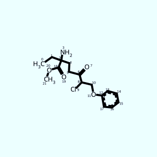 CCC(N)(CCC(=O)C(Cl)COc1ccccc1)C(=O)OC